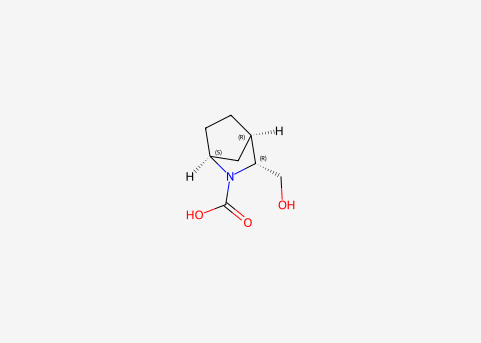 O=C(O)N1[C@H]2CC[C@H](C2)[C@@H]1CO